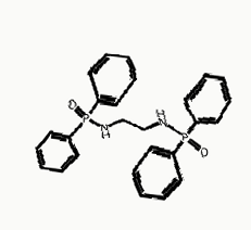 O=P(NCCNP(=O)(c1ccccc1)c1ccccc1)(c1ccccc1)c1ccccc1